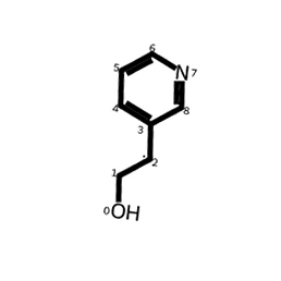 OC[C]c1cccnc1